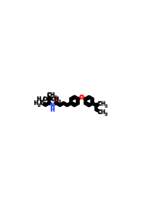 C=CC(NC(=O)CCCc1ccc(Oc2ccc(C(=C)CC)cc2)cc1)C(C)(C)C